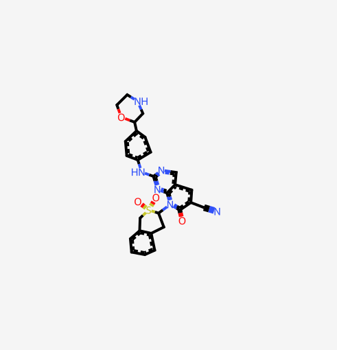 N#Cc1cc2cnc(Nc3ccc(C4CNCCO4)cc3)nc2n(C2Cc3ccccc3CS2(=O)=O)c1=O